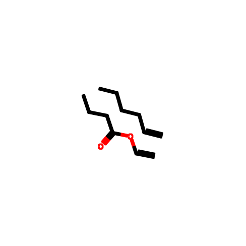 C=CCCCC.C=COC(=O)CCC